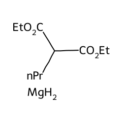 CCCC(C(=O)OCC)C(=O)OCC.[MgH2]